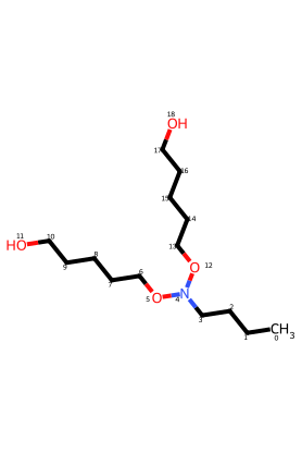 CCCCN(OCCCCCO)OCCCCCO